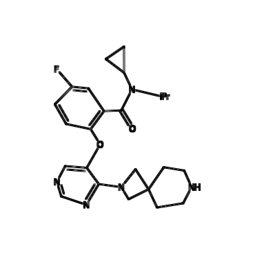 CC(C)N(C(=O)c1cc(F)ccc1Oc1cncnc1N1CC2(CCNCC2)C1)C1CC1